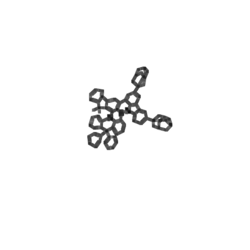 CC1(C)c2ccccc2-c2cc3c4c(c21)N1c2ccccc2C(c2ccccc2)(c2ccccc2)c2cccc(c21)B4n1c2ccc(C45CC6CC(CC(C6)C4)C5)cc2c2cc(C45CC6CC(CC(C6)C4)C5)cc-3c21